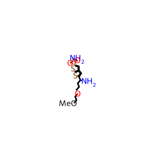 COCCOCCCC(N)c1cc2cc(S(N)(=O)=O)sc2s1